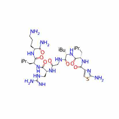 CCC(C)[C@H](NC(=O)[C@H](CC(C)C)NC(=O)c1csc(N)n1)C(=O)NCC(=O)N[C@@H](CNC(=N)N)C(=O)N[C@@H](CC(C)C)C(=O)N[C@@H](CCCN)C(N)=O